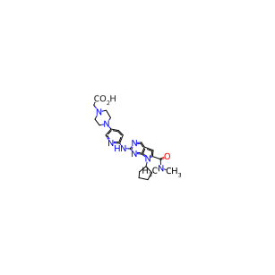 CN(C)C(=O)c1cc2cnc(Nc3ccc(N4CCN(CC(=O)O)CC4)cn3)nc2n1C1CCCC1